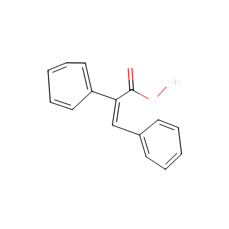 O=C(OO)C(=Cc1ccccc1)c1ccccc1